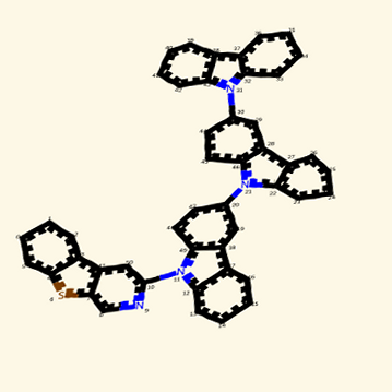 c1ccc2c(c1)sc1cnc(-n3c4ccccc4c4cc(-n5c6ccccc6c6cc(-n7c8ccccc8c8ccccc87)ccc65)ccc43)cc12